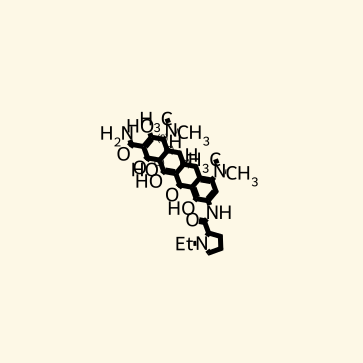 CCN1CCCC1C(=O)Nc1cc(N(C)C)c2c(c1O)C(=O)C1=C(O)[C@]3(O)C(=O)C(C(N)=O)=C(O)[C@@H](N(C)C)[C@@H]3C[C@@H]1C2